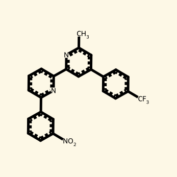 Cc1cc(-c2ccc(C(F)(F)F)cc2)cc(-c2cccc(-c3cccc([N+](=O)[O-])c3)n2)n1